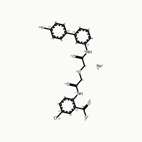 O=C(COCC(=O)Nc1ccc(Cl)cc1C(=O)[O-])Nc1cccc(-c2ccc(F)cc2)c1.[Na+]